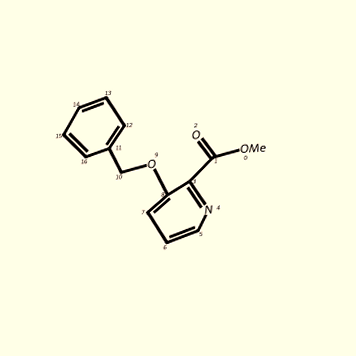 COC(=O)c1ncccc1OCc1ccccc1